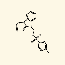 Cc1ccc(S(=O)(=O)OCC2c3ccccc3-c3ccccc32)cc1